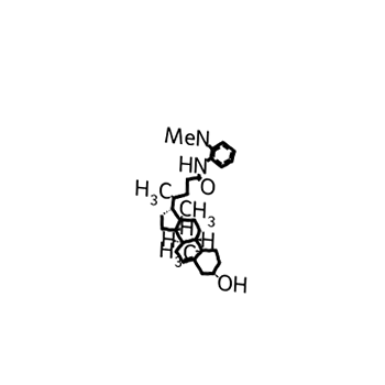 CNc1ccccc1NC(=O)CC[C@@H](C)[C@H]1CC[C@H]2[C@@H]3CC=C4C[C@@H](O)CC[C@]4(C)[C@H]3CC[C@]12C